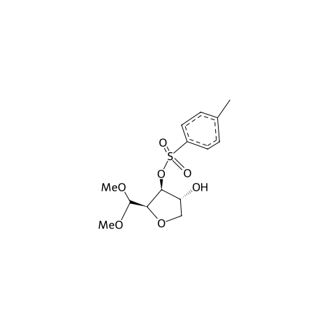 COC(OC)[C@@H]1OC[C@@H](O)[C@@H]1OS(=O)(=O)c1ccc(C)cc1